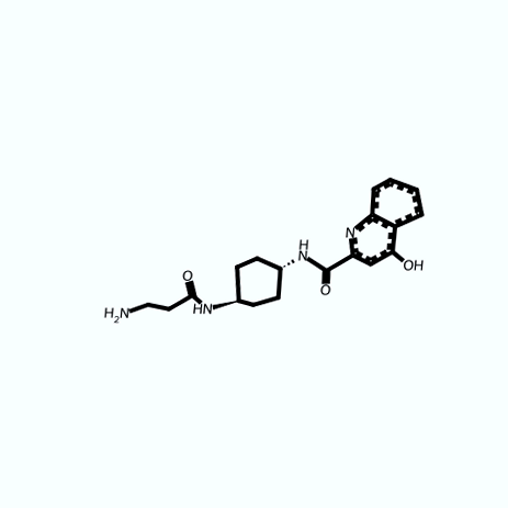 NCCC(=O)N[C@H]1CC[C@H](NC(=O)c2cc(O)c3ccccc3n2)CC1